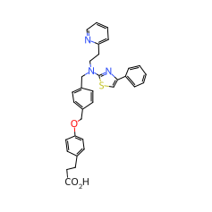 O=C(O)CCc1ccc(OCc2ccc(CN(CCc3ccccn3)c3nc(-c4ccccc4)cs3)cc2)cc1